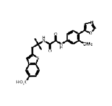 COc1cc(NC(=O)C(=O)NC(C)(C)Cc2cc3cc(C(=O)O)ccc3s2)ccc1-c1cnco1